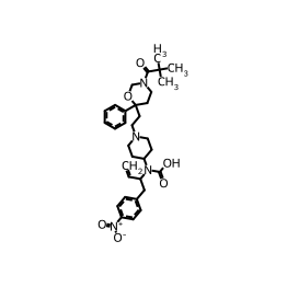 C=CC(Cc1ccc([N+](=O)[O-])cc1)N(C(=O)O)C1CCN(CCC2(c3ccccc3)CCN(C(=O)C(C)(C)C)CO2)CC1